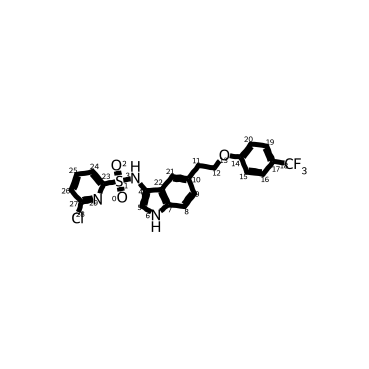 O=S(=O)(Nc1c[nH]c2ccc(CCOc3ccc(C(F)(F)F)cc3)cc12)c1cccc(Cl)n1